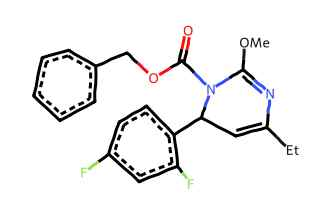 CCC1=CC(c2ccc(F)cc2F)N(C(=O)OCc2ccccc2)C(OC)=N1